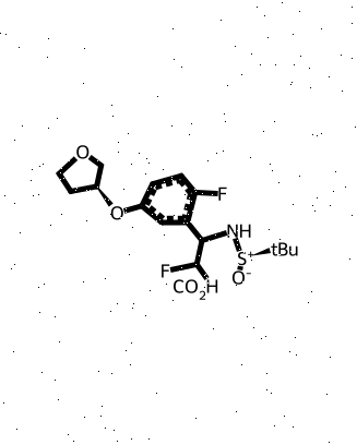 CC(C)(C)[S@@+]([O-])NC(c1cc(O[C@H]2CCOC2)ccc1F)C(F)C(=O)O